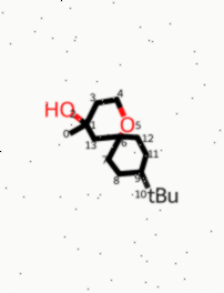 CC1(O)CCOC2(CCC(C(C)(C)C)CC2)C1